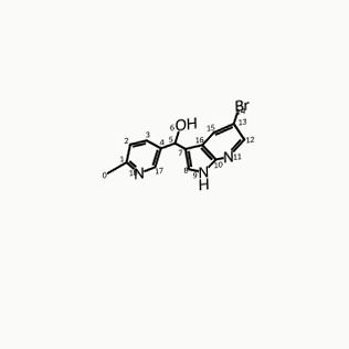 Cc1ccc(C(O)c2c[nH]c3ncc(Br)cc23)cn1